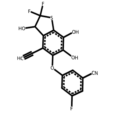 C#Cc1c(Oc2cc(F)cc(C#N)c2)c(O)c(O)c2c1C(O)C(F)(F)S2